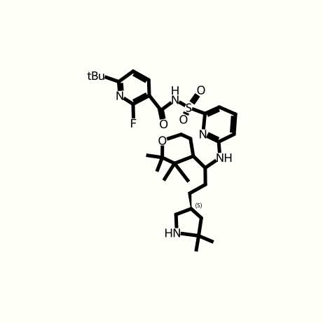 CC1(C)C[C@H](CCC(Nc2cccc(S(=O)(=O)NC(=O)c3ccc(C(C)(C)C)nc3F)n2)C2CCOC(C)(C)C2(C)C)CN1